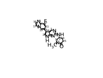 CN1C[C@@H](Nc2ncc3c(-c4cc(F)c5nccn5c4)c[nH]c3n2)CCC1=O